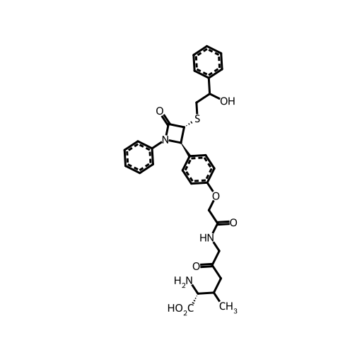 CC(CC(=O)CNC(=O)COc1ccc([C@@H]2[C@@H](SCC(O)c3ccccc3)C(=O)N2c2ccccc2)cc1)[C@@H](N)C(=O)O